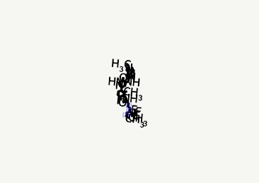 C\C=C/C(=C\C=C\C(=O)Nc1c(F)ccc(-c2cc(Nc3cc4n(n3)CCN(C)C4)c(=O)[nH]n2)c1C)C(C)C(F)(F)F